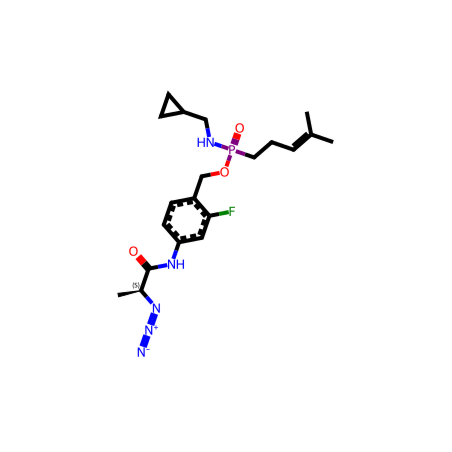 CC(C)=CCCP(=O)(NCC1CC1)OCc1ccc(NC(=O)[C@H](C)N=[N+]=[N-])cc1F